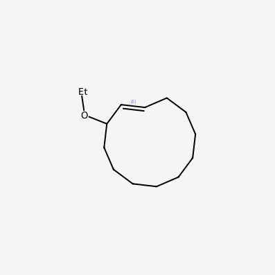 CCOC1/C=C/CCCCCCCCC1